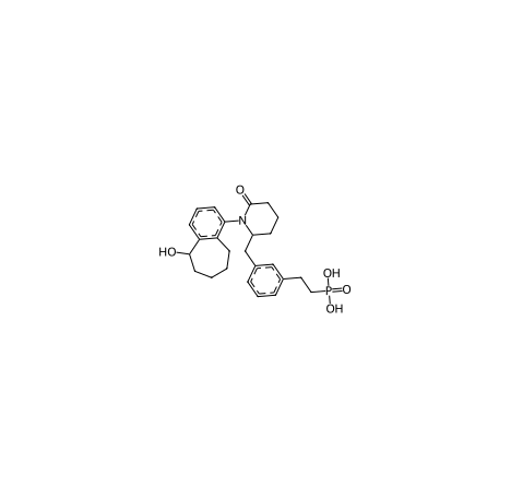 O=C1CCCC(Cc2cccc(CCP(=O)(O)O)c2)N1c1cccc2c1CCCCC2O